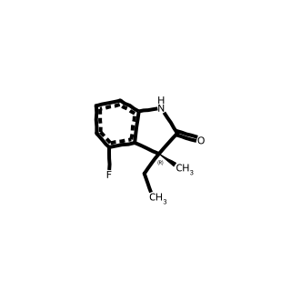 CC[C@@]1(C)C(=O)Nc2cccc(F)c21